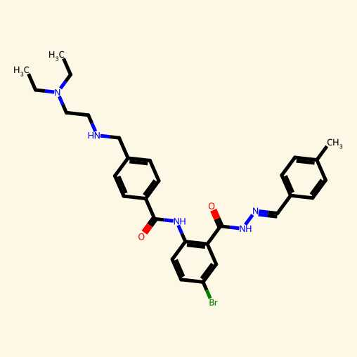 CCN(CC)CCNCc1ccc(C(=O)Nc2ccc(Br)cc2C(=O)NN=Cc2ccc(C)cc2)cc1